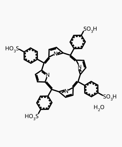 O.O=S(=O)(O)c1ccc(C2=C3C=CC(=N3)C(c3ccc(S(=O)(=O)O)cc3)=C3C=CC(=N3)C(c3ccc(S(=O)(=O)O)cc3)=C3C=CC(=N3)C(c3ccc(S(=O)(=O)O)cc3)=C3C=CC2=N3)cc1